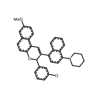 COc1ccc2c3c(ccc2c1)OC(c1cccc(Cl)c1)C(c1ccc(N2CCCCC2)c2ccccc12)=C3